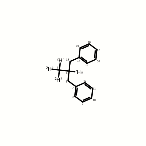 [2H]C([2H])([2H])C([2H])(Cc1ccccc1)Cc1ccccc1